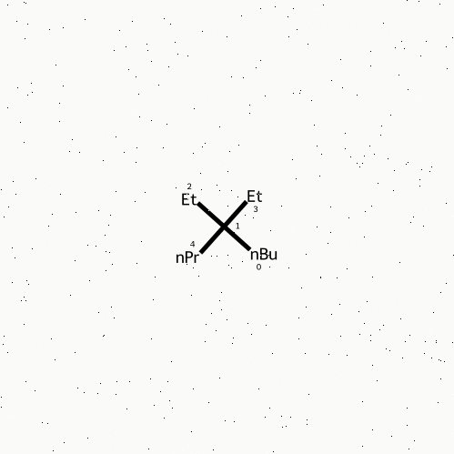 CCCCC(CC)(CC)CCC